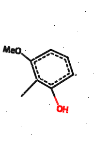 COc1cc[c]c(O)c1C